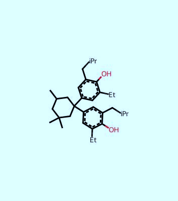 CCc1cc(C2(c3cc(CC)c(O)c(CC(C)C)c3)CC(C)CC(C)(C)C2)cc(CC(C)C)c1O